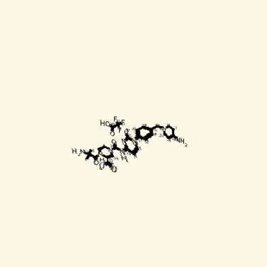 CC(C)(N)C(=O)N1CCN(C(=O)Nc2ccn(-c3ccc(CN4CCC(N)CC4)cc3)c(=O)n2)C[C@H]1C(=O)O.O=C(O)C(F)(F)F